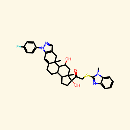 Cn1c(SCC(=O)[C@@]2(O)CCC3C4CCC5=Cc6c(cnn6-c6ccc(F)cc6)CC5(C)C4[C@@H](O)CC32C)nc2ccccc21